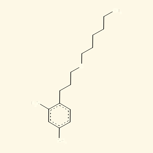 CCCCCCOCCCc1ccc(N)cc1N